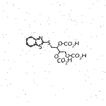 O=C(O)OCC(OC(=O)O)C(CSc1nc2ccccc2s1)OC(=O)O